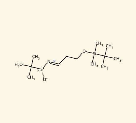 CC(C)(C)[S@@+]([O-])/N=C/CCO[Si](C)(C)C(C)(C)C